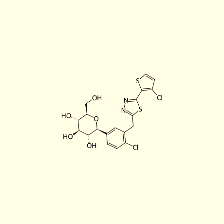 OC[C@H]1O[C@@H](c2ccc(Cl)c(Cc3nnc(-c4sccc4Cl)s3)c2)[C@H](O)[C@@H](O)[C@@H]1O